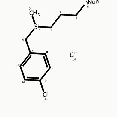 CCCCCCCCCCCC[S+](C)Cc1ccc(Cl)cc1.[Cl-]